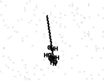 CCC=CCC=CCC=CCC=CCC=CCC=CCCC(=O)NCCCC[C@H](NC(=O)c1cccnc1F)C(=O)O